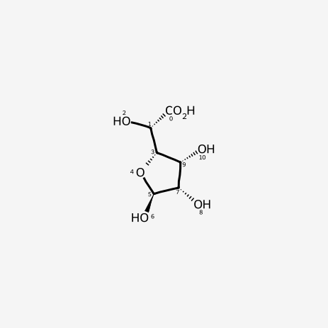 O=C(O)[C@@H](O)[C@H]1O[C@H](O)[C@@H](O)[C@H]1O